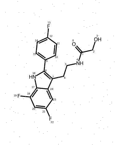 O=C(CO)NCCc1c(-c2ccc(F)cc2)[nH]c2c(F)cc(F)cc12